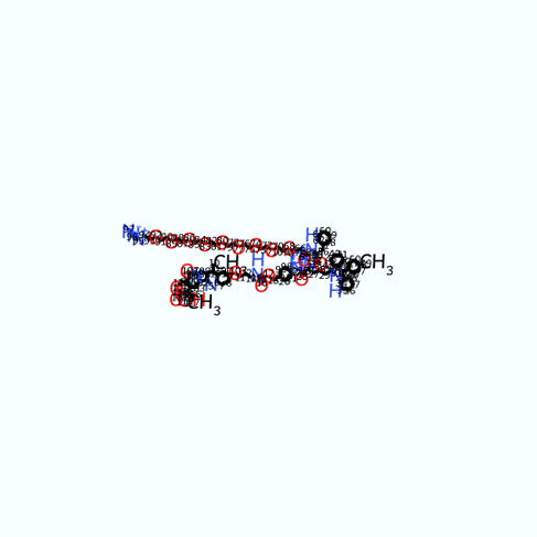 CCc1c2c(nc3ccc(OCCCNC(=O)OCc4ccc(NC(=O)[C@H](CCCCNC(c5ccccc5)(c5ccccc5)c5ccc(C)cc5)NC(=O)[C@H](Cc5ccccc5)NC(=O)CCOCCOCCOCCOCCOCCOCCOCCOCCOCCN=[N+]=[N-])cc4)cc13)-c1cc3c(c(=O)n1C2)COC(=O)[C@]3(O)CC